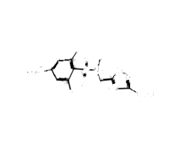 CCOC(=O)c1noc(CN(C)S(=O)(=O)c2c(C)cc(OC)cc2C)n1